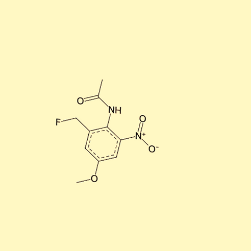 COc1cc(CF)c(NC(C)=O)c([N+](=O)[O-])c1